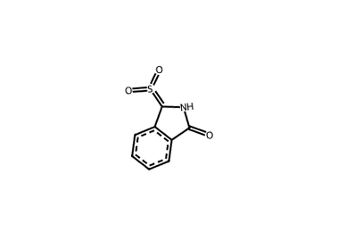 O=C1NC(=S(=O)=O)c2ccccc21